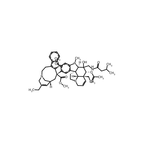 CCC1=C[C@@H]2CN(CCc3c([nH]c4ccccc34)[C@@](C(=O)OC)(c3cc4c(cc3OC)N(C)[C@H]3C(O)(CNC(=O)CC(C)C)[C@H](OC(C)=O)[C@]5(CC)C=CCN6CC[C@]43[C@@H]65)C2)C1